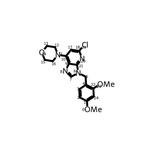 COc1ccc(Cn2cnc3c(N4CCOCC4)cc(Cl)nc32)c(OC)c1